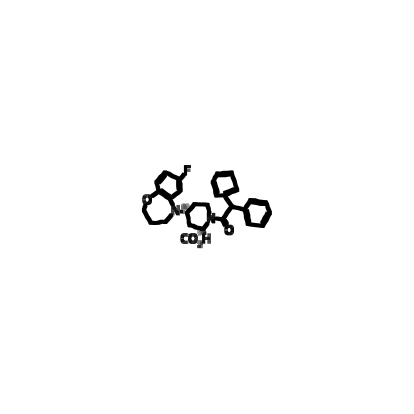 O=C(O)[C@@H]1C[C@H](N2CCCOc3ccc(F)cc32)CCN1C(=O)C(c1ccccc1)c1ccccc1